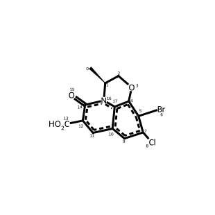 C[C@H]1COc2c(Br)c(Cl)cc3cc(C(=O)O)c(=O)n1c23